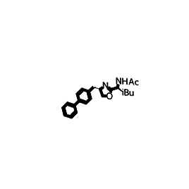 CC[C@H](C)C(NC(C)=O)C1=N[C@@H](Cc2ccc(-c3ccccc3)cc2)CO1